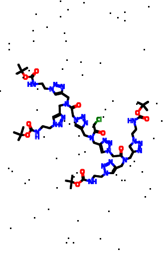 CC(C)(C)OC(=O)NCCN1CC(CN(Cc2cn(CCNC(=O)OC(C)(C)C)nn2)C(=O)Cn2cc(CN(Cc3cn(CC(=O)N(Cc4cn(CCNC(=O)OC(C)(C)C)nn4)Cc4cn(CCNC(=O)OC(C)(C)C)nn4)nn3)C(=O)CCl)nn2)N=N1